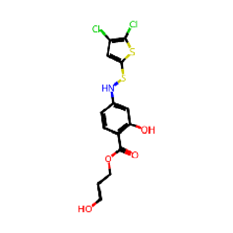 O=C(OCCCO)c1ccc(NSc2cc(Cl)c(Cl)s2)cc1O